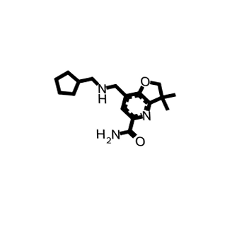 CC1(C)COc2c(CNCC3CCCC3)cc(C(N)=O)nc21